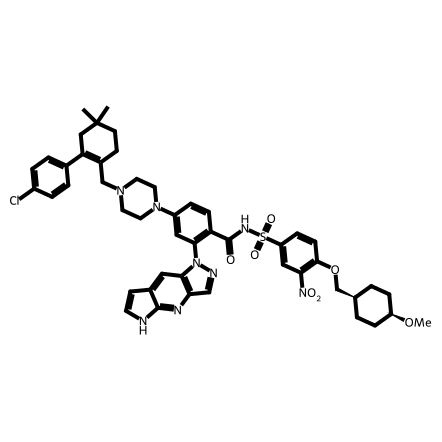 CO[C@H]1CC[C@@H](COc2ccc(S(=O)(=O)NC(=O)c3ccc(N4CCN(CC5=C(c6ccc(Cl)cc6)CC(C)(C)CC5)CC4)cc3-n3ncc4nc5[nH]ccc5cc43)cc2[N+](=O)[O-])CC1